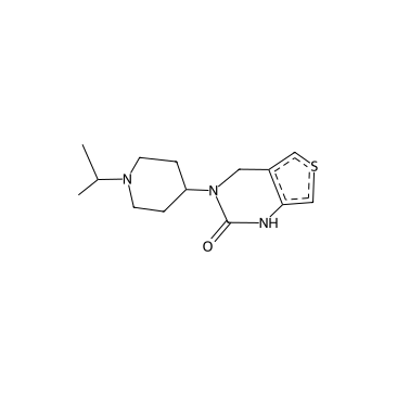 CC(C)N1CCC(N2Cc3cscc3NC2=O)CC1